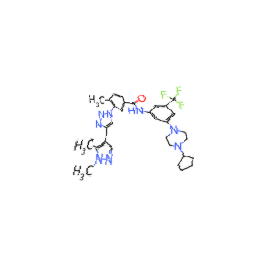 Cc1ccc(C(=O)Nc2cc(N3CCN(C4CCCC4)CC3)cc(C(F)(F)F)c2)cc1-n1cc(-c2cnn(C)c2C)nn1